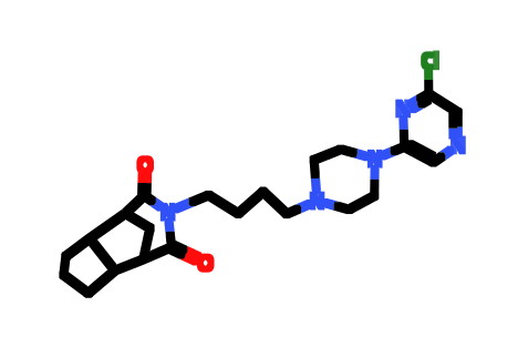 O=C1C2CC(C(=O)N1CCCCN1CCN(c3cncc(Cl)n3)CC1)C1CCCC21